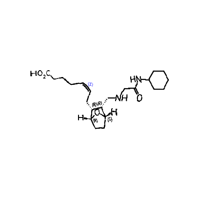 O=C(O)CCC/C=C\C[C@@H]1[C@H](CNCC(=O)NC2CCCCC2)[C@@H]2CC[C@H]1O2